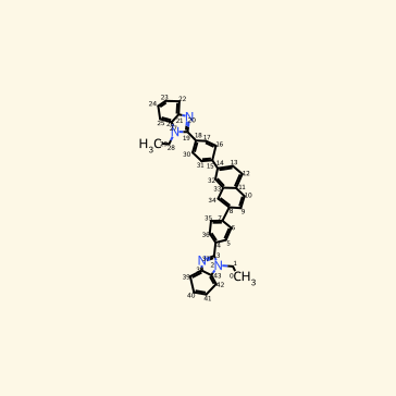 CCn1c(-c2ccc(-c3ccc4ccc(-c5ccc(-c6nc7ccccc7n6CC)cc5)cc4c3)cc2)nc2ccccc21